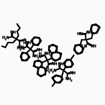 CCCCC(CCCC)(C(=N)N)C(=N)N.Cc1ccc(C(C(=N)N)(C(=N)N)c2ccc(C)cc2)cc1.N=C(N)C(C(=N)N)(c1cccc2ccccc12)c1cccc2ccccc12.N=C(N)C(C(=N)N)(c1ccccc1)c1ccccc1.N=C(N)C(Cc1ccccc1)(Cc1ccccc1)C(=N)N